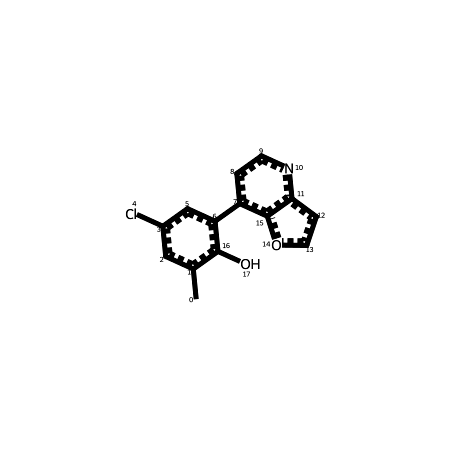 Cc1cc(Cl)cc(-c2ccnc3ccoc23)c1O